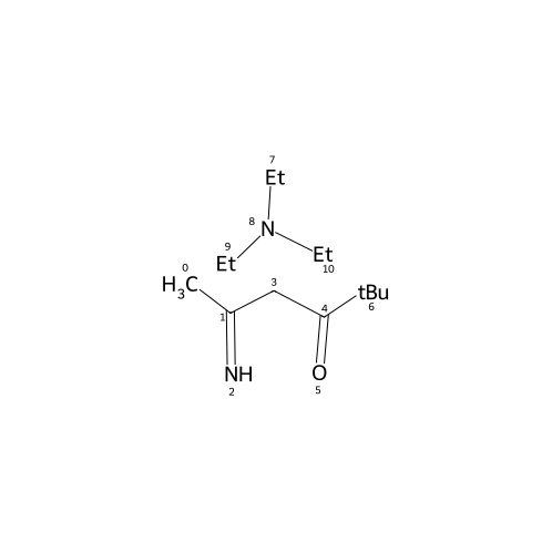 CC(=N)CC(=O)C(C)(C)C.CCN(CC)CC